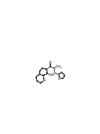 CN(Cc1ccco1)C(=O)c1ccc2cccnc2c1O